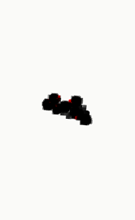 CC(NC(NC(N)c1ccc2c(c1)oc1ccccc12)c1ccccc1)c1ccc(-c2cccc(-n3c4c(c5ccccc53)CCC=C4)c2)cc1